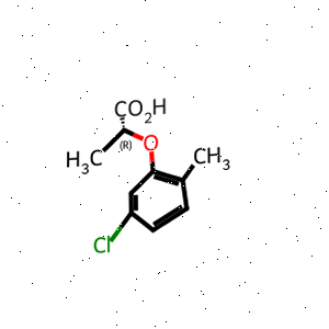 Cc1ccc(Cl)cc1O[C@H](C)C(=O)O